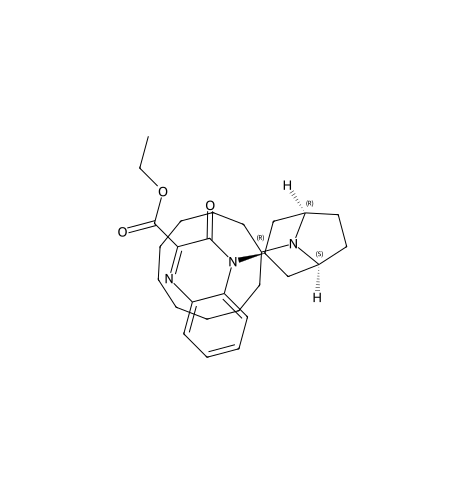 CCOC(=O)c1nc2ccccc2n([C@H]2C[C@H]3CC[C@@H](C2)N3C2CCCCCCCCC2)c1=O